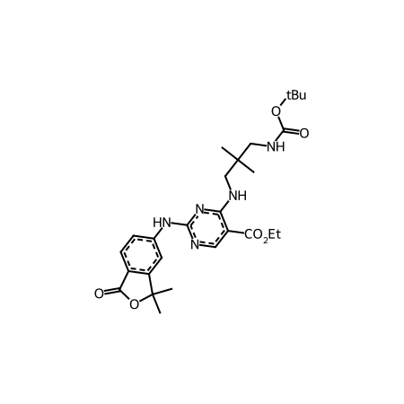 CCOC(=O)c1cnc(Nc2ccc3c(c2)C(C)(C)OC3=O)nc1NCC(C)(C)CNC(=O)OC(C)(C)C